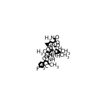 CC(C)[C@H](NC(=O)N[C@H](C(=O)N1C[C@H]2[C@@H]([C@H]1C(=O)NC(CC1CC1)C(=O)C(N)=O)C2(C)C)C(C)(C)C)C(=O)c1ccc(F)cc1